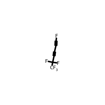 FC#CC#CC(F)(F)C(F)(F)F